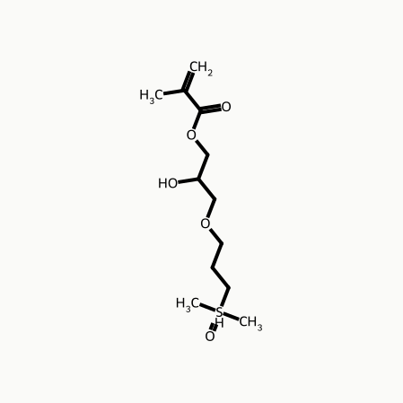 C=C(C)C(=O)OCC(O)COCCC[SH](C)(C)=O